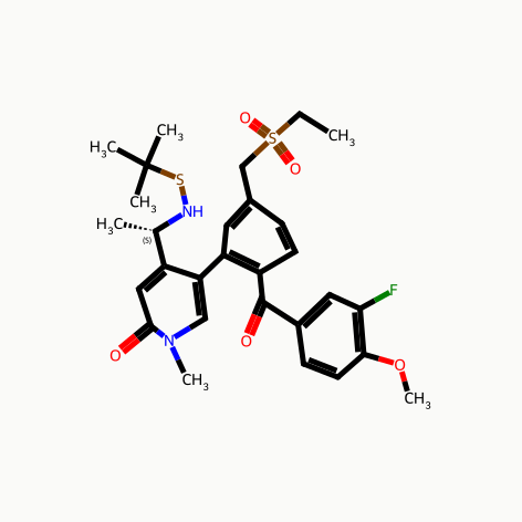 CCS(=O)(=O)Cc1ccc(C(=O)c2ccc(OC)c(F)c2)c(-c2cn(C)c(=O)cc2[C@H](C)NSC(C)(C)C)c1